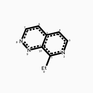 CCc1nccc2ccnnc12